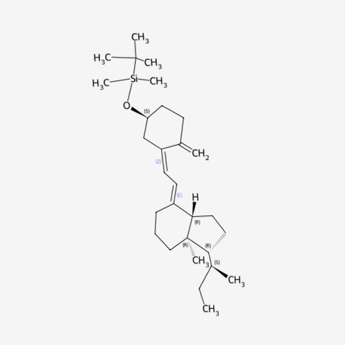 C=C1CC[C@H](O[Si](C)(C)C(C)(C)C)C/C1=C/C=C1\CCC[C@]2(C)[C@@H]([C@@H](C)CC)CC[C@@H]12